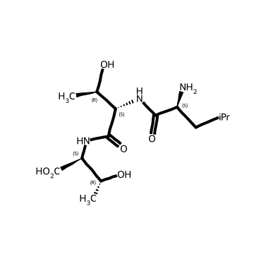 CC(C)C[C@H](N)C(=O)N[C@H](C(=O)N[C@H](C(=O)O)[C@@H](C)O)[C@@H](C)O